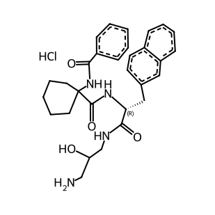 Cl.NCC(O)CNC(=O)[C@@H](Cc1ccc2ccccc2c1)NC(=O)C1(NC(=O)c2ccccc2)CCCCC1